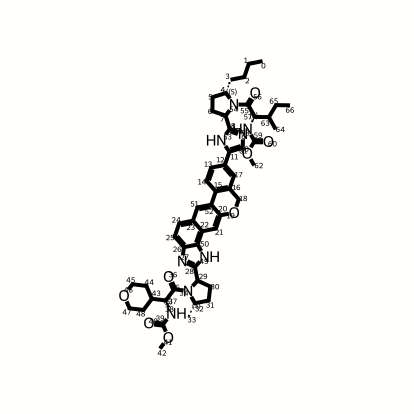 CCCC[C@H]1CCC(c2ncc(-c3ccc4c(c3)COc3cc5c(ccc6nc(C7CC[C@H](C)N7C(=O)[C@@H](NC(=O)OC)C7CCOCC7)[nH]c65)cc3-4)[nH]2)N1C(=O)[C@@H](NC(=O)OC)C(C)CC